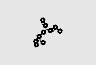 c1ccc(-c2cccc3c2oc2ccc(N(c4ccc(-c5ccc6c7ccc8ccccc8c7n(-c7ccccc7)c6c5)cc4)c4ccc5c(c4)sc4ccccc45)cc23)cc1